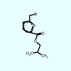 CC(C)COC(=O)c1cccc(CBr)n1